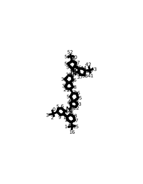 CC(C)(C)c1ccc2c(c1)c1cc(C(C)(C)C)ccc1n2-c1ccc2ccc(-c3ccc4ccc(-n5c6ccc(C(C)(C)C)cc6c6cc(C(C)(C)C)ccc65)cc4c3)cc2c1